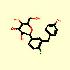 OCC1OC(c2ccc(Cl)c(Cc3ccc(O)cc3)c2)C(O)C(O)C1O